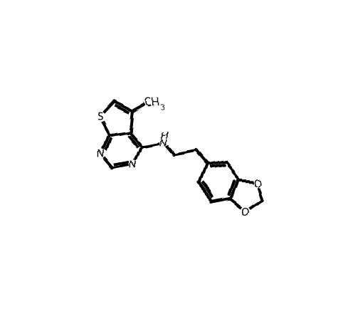 Cc1csc2ncnc(NCCc3ccc4c(c3)OCO4)c12